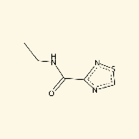 CCNC(=O)c1ncsn1